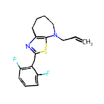 C=CCN1CCCCc2nc(-c3c(F)cccc3F)sc21